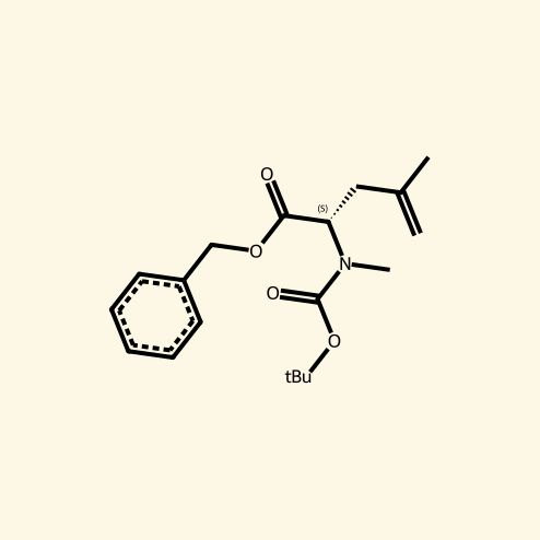 C=C(C)C[C@@H](C(=O)OCc1ccccc1)N(C)C(=O)OC(C)(C)C